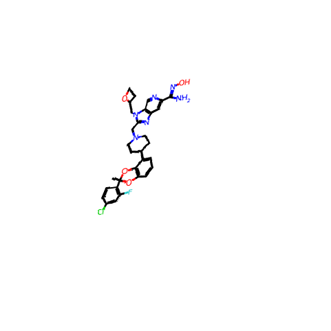 CC1(c2ccc(Cl)cc2F)Oc2cccc(C3CCN(Cc4nc5cc(C(N)=NO)ncc5n4CC4CCO4)CC3)c2O1